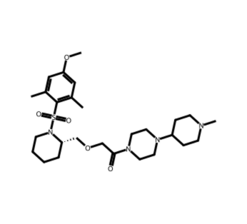 COc1cc(C)c(S(=O)(=O)N2CCCC[C@H]2COCC(=O)N2CCN(C3CCN(C)CC3)CC2)c(C)c1